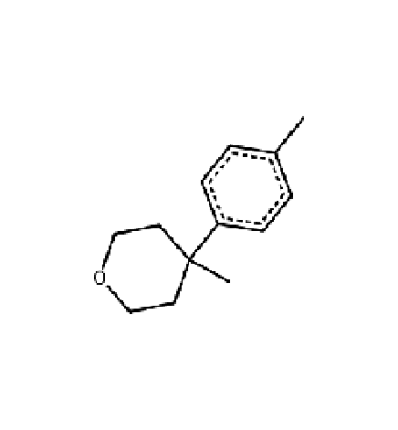 Cc1ccc(C2(C)CCOCC2)cc1